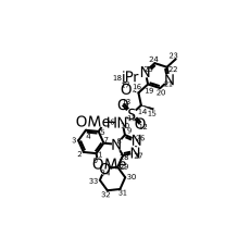 COc1cccc(OC)c1-n1c(NS(=O)(=O)[C@H](C)[C@H](OC(C)C)c2cnc(C)cn2)nnc1C1CCCCO1